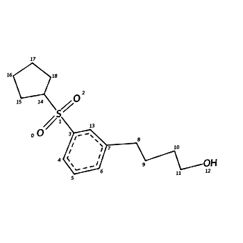 O=S(=O)(c1cccc(CCCCO)c1)C1CCCC1